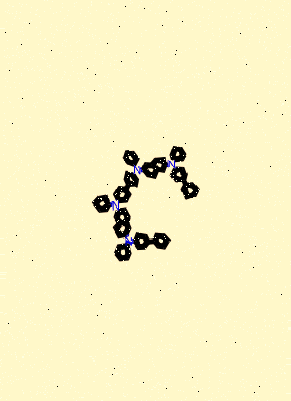 c1ccc(-c2ccc(N(c3ccccc3)c3ccc4cc(N(c5ccccc5)c5ccc(-c6ccc(N(c7ccccc7)c7ccc8cc(N(c9ccccc9)c9ccc(-c%10ccccc%10)cc9)ccc8c7)cc6)cc5)ccc4c3)cc2)cc1